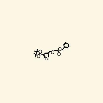 CC1(C)OB(c2cncc(COCC(=O)OCc3ccccc3)c2)OC1(C)C